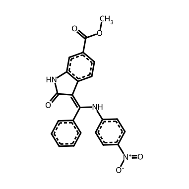 COC(=O)c1ccc2c(c1)NC(=O)C2=C(Nc1ccc([N+](=O)[O-])cc1)c1ccccc1